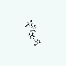 O=C(Nc1nc2c(Cl)cccc2s1)c1cc(NC(=O)[C@@H]2[C@@H](c3cc(Cl)cc(Cl)c3)C2(Cl)Cl)ccc1Cl